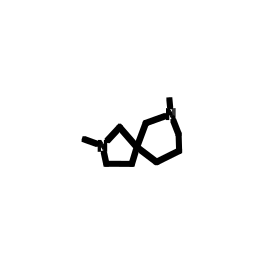 CN1CCCC2(CCN(C)C2)C1